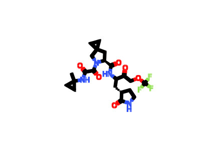 CC1(NC(=O)C(=O)N2CC3(CC3)C[C@H]2C(=O)NC(C[C@@H]2CCNC2=O)C(=O)COC(F)(F)F)CC1